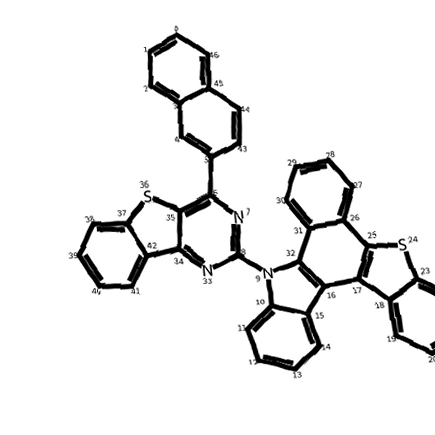 c1ccc2cc(-c3nc(-n4c5ccccc5c5c6c7ccccc7sc6c6ccccc6c54)nc4c3sc3ccccc34)ccc2c1